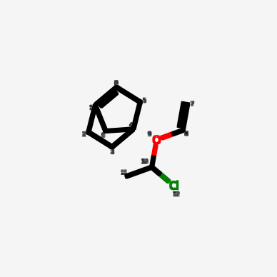 C1=C2CCC(C1)C2.C=COC(C)Cl